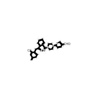 CC1C=C(Cl)C(Cc2nnc(N3CCN(c4ccc(C=O)cn4)CC3)c3ccccc23)=CC1